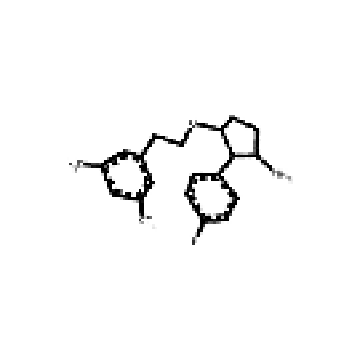 NC1CCC(OCCc2cc(C(F)(F)F)cc(C(F)(F)F)c2)C1c1ccc(F)cc1